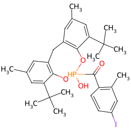 Cc1cc2c(c(C(C)(C)C)c1)O[PH](O)(C(=O)c1ccc(I)cc1C)Oc1c(cc(C)cc1C(C)(C)C)C2